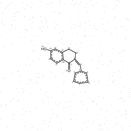 O=C1C(=Cc2ccccc2)CCc2cc(O)ccc21